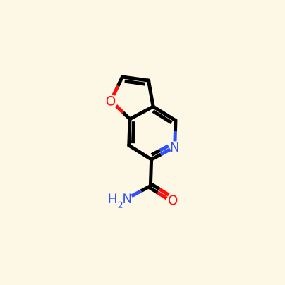 NC(=O)c1cc2occc2cn1